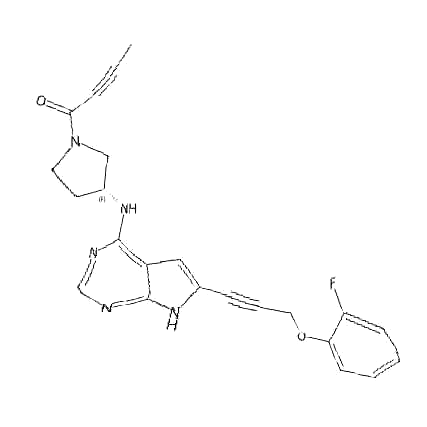 CC#CC(=O)N1CC[C@@H](Nc2ncnc3[nH]c(C#CCOc4ccccc4F)cc23)C1